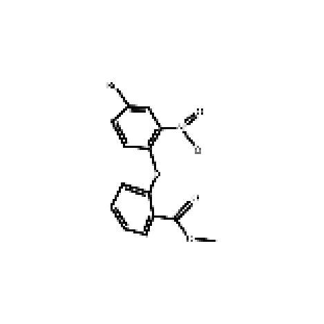 COC(=O)c1ccccc1Oc1ccc(Br)cc1[N+](=O)[O-]